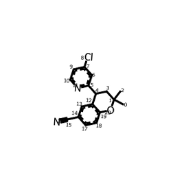 CC1(C)CC(c2cc(Cl)ccn2)c2cc(C#N)ccc2O1